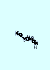 O=C(C=Cc1cccc(OC(F)(F)F)c1)N1CC[C@@H]2CN(C(=O)c3ccc4[nH]nnc4c3)C[C@@H]2CC1